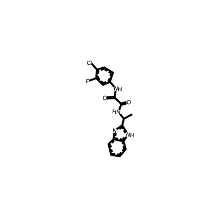 CC(NC(=O)C(=O)Nc1ccc(Cl)c(F)c1)c1nc2ccccc2[nH]1